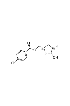 O=C(OC[C@@H]1C[C@H](F)C(O)S1)c1ccc(Cl)cc1